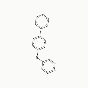 [c]1ccc(Sc2ccc(-c3ccccc3)cc2)cc1